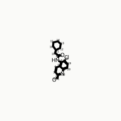 O=Cc1ccc2c(NC(=O)CC3CCCCC3)c(Cl)ccc2n1